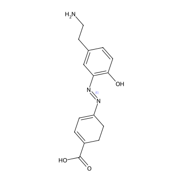 NCCc1ccc(O)c(/N=N/C2=CC=C(C(=O)O)CC2)c1